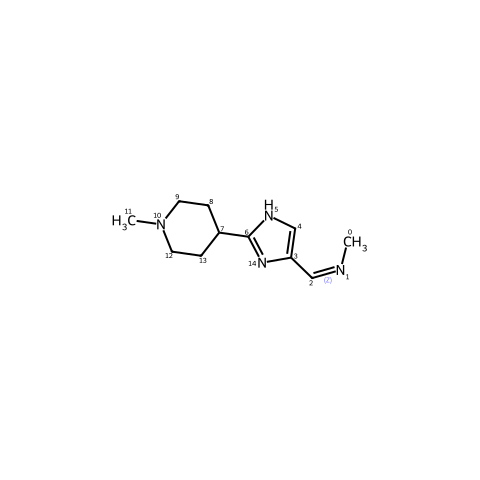 C/N=C\c1c[nH]c(C2CCN(C)CC2)n1